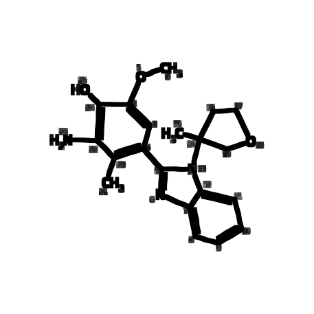 COc1cc(-c2nc3ccccc3n2C2(C)CCOC2)c(C)c(N)c1O